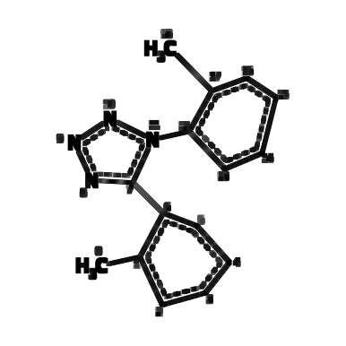 Cc1ccccc1-c1nnnn1-c1ccccc1C